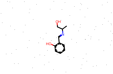 CC(CO)/N=C/c1ccccc1O